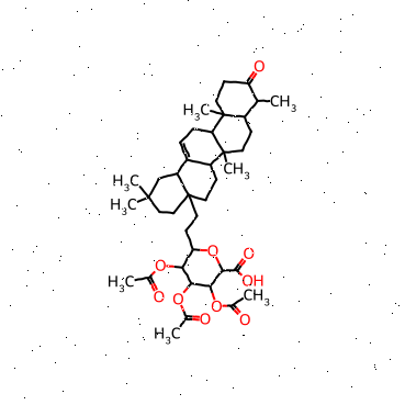 CC(=O)OC1C(CCC23CCC4C(=CCC5C4(C)CCC4C(C)C(=O)CCC45C)C2CC(C)(C)CC3)OC(C(=O)O)C(OC(C)=O)C1OC(C)=O